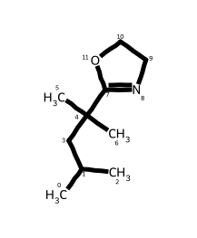 CC(C)CC(C)(C)C1=NCCO1